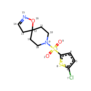 O=S(=O)(c1ccc(Cl)s1)N1CCC2(CC=NO2)CC1